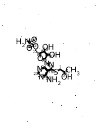 C[C@H](O)CSc1nn([C@@H]2O[C@H](COS(N)(=O)=O)[C@@H](O)[C@H]2O)c2ncnc(N)c12